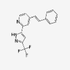 FC(F)(F)c1cc(-c2cc(/C=C/c3ccccc3)ccn2)[nH]n1